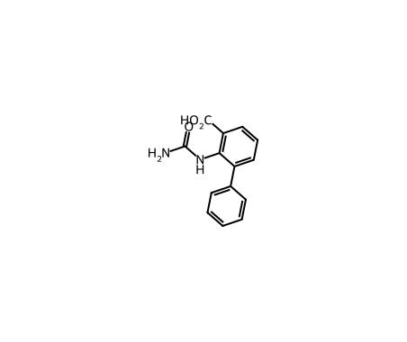 NC(=O)Nc1c(C(=O)O)cccc1-c1ccccc1